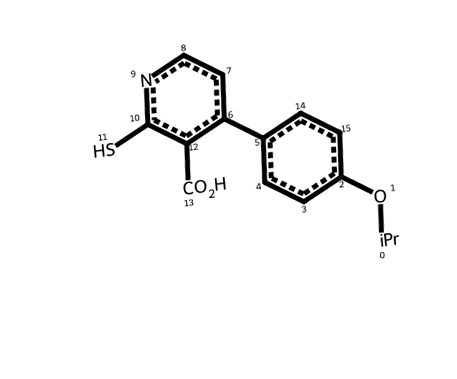 CC(C)Oc1ccc(-c2ccnc(S)c2C(=O)O)cc1